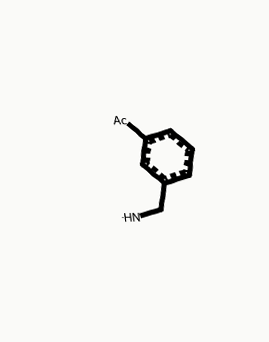 CC(=O)c1cccc(C[NH])c1